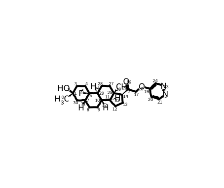 C[C@@]1(O)CC[C@@]2(F)[C@H](CC[C@H]3[C@@H]4CC[C@H](C(=O)COc5ccnnc5)[C@@]4(C)CC[C@@H]32)C1